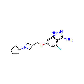 Nc1n[nH]c2cc(OCC3CN(C4CCCC4)C3)cc(F)c12